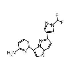 Nc1cccc(-c2cnc3ccc(-c4cnn(C(F)F)c4)nn23)n1